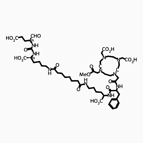 COC(=O)CN1CCN(CC(=O)O)CCN(CC(=O)O)CCN(CC(=O)NC(Cc2ccccc2)C(=O)NC(CCCCNC(=O)CCCCCCC(=O)NCCCC[C@H](NC(=O)N[C@H](C=O)CCC(=O)O)C(=O)O)C(=O)O)CC1